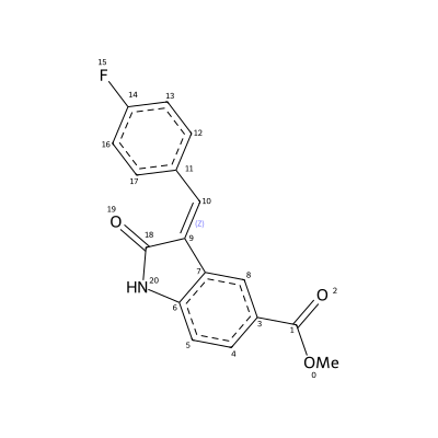 COC(=O)c1ccc2c(c1)/C(=C/c1ccc(F)cc1)C(=O)N2